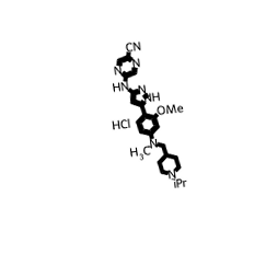 COc1cc(N(C)CC2CCN(C(C)C)CC2)ccc1-c1cc(Nc2cnc(C#N)cn2)n[nH]1.Cl